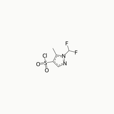 Cc1c(S(=O)(=O)Cl)cnn1C(F)F